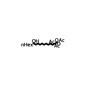 CCCCCCC(O)CCCCCCCCCC(C(C)=O)(C(C)=O)C(=O)OC(C)=O